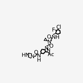 CC(=O)c1nn(CC(=O)N(CC(=O)NCc2cccc(Cl)c2F)C2CC2)c2ccc(NC(=O)CN3CCNCC3)cc12